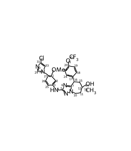 COc1cc(Nc2nc3n(n2)CC[C@](C)(O)C[C@@H]3c2ccc(OC(F)(F)F)cc2)ccc1-n1cnc(Cl)c1